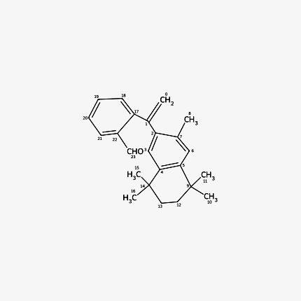 C=C(c1cc2c(cc1C)C(C)(C)CCC2(C)C)c1ccccc1C=O